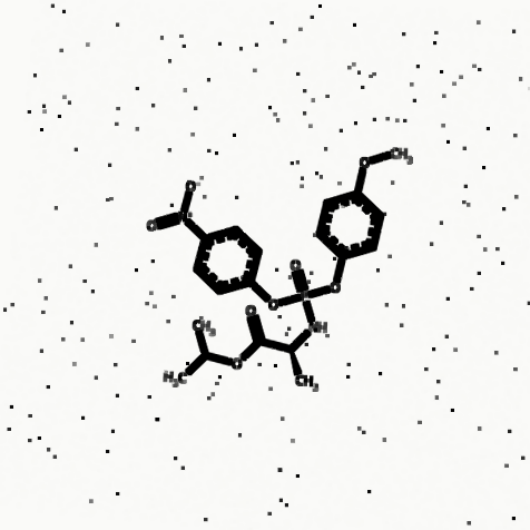 COc1ccc(OP(=O)(N[C@@H](C)C(=O)OC(C)C)Oc2ccc([N+](=O)[O-])cc2)cc1